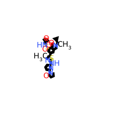 Cc1nc(Nc2cccc(N3CCCC3=O)n2)sc1-c1cc2c(c(S(=O)(=O)NC3COC3)c1)C(=O)N(C(C)C1CC1)C2